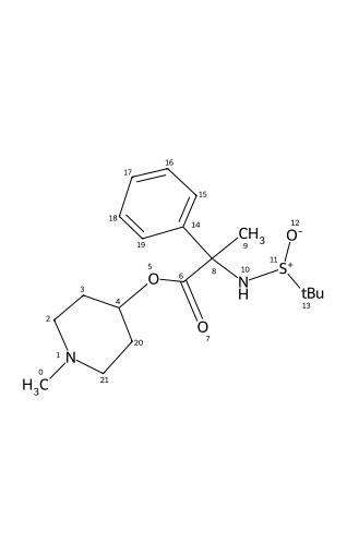 CN1CCC(OC(=O)C(C)(N[S+]([O-])C(C)(C)C)c2ccccc2)CC1